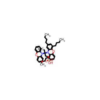 CCCCc1cc(CCCC)c2c(c1)N(C(CC)(CCS(=O)(=O)O)N1c3ccccc3Oc3ccccc31)c1c(CCCC)cccc1O2